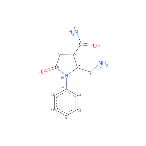 NCC1C(C(N)=O)CC(=O)N1c1ccccc1